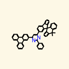 CC1(C)c2ccccc2C2(c3ccccc3-c3ccc(-c4cc(-c5ccc6c7ccccc7c7ccccc7c6c5)nc(-c5ccccc5)n4)cc32)c2ccccc21